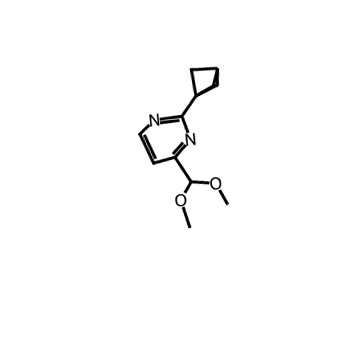 COC(OC)c1ccnc(C23CC(C2)C3)n1